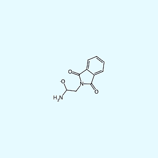 NC([O])CN1C(=O)c2ccccc2C1=O